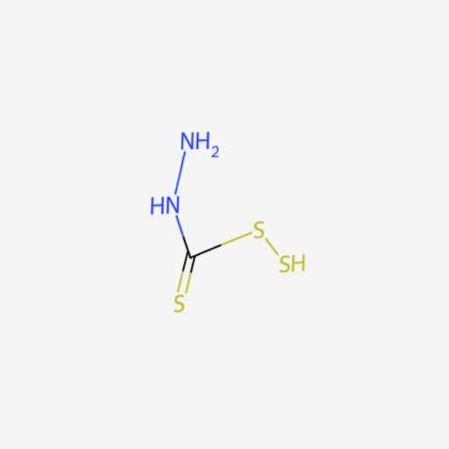 NNC(=S)SS